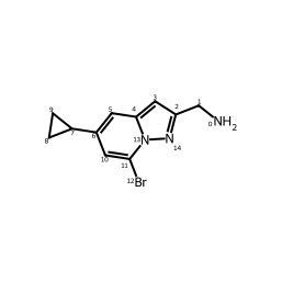 NCc1cc2cc(C3CC3)cc(Br)n2n1